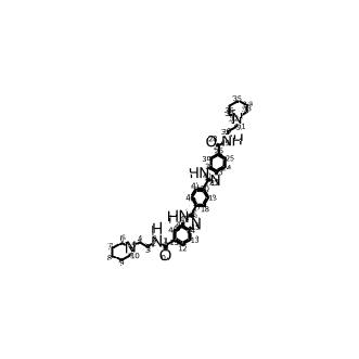 O=C(NCCN1CCCCC1)c1ccc2nc(-c3ccc(-c4nc5ccc(C(=O)NCCN6CCCCC6)cc5[nH]4)cc3)[nH]c2c1